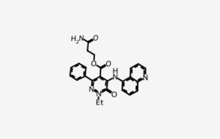 CCn1nc(-c2ccccc2)c(C(=O)OCCC(N)=O)c(Nc2cccc3ncccc23)c1=O